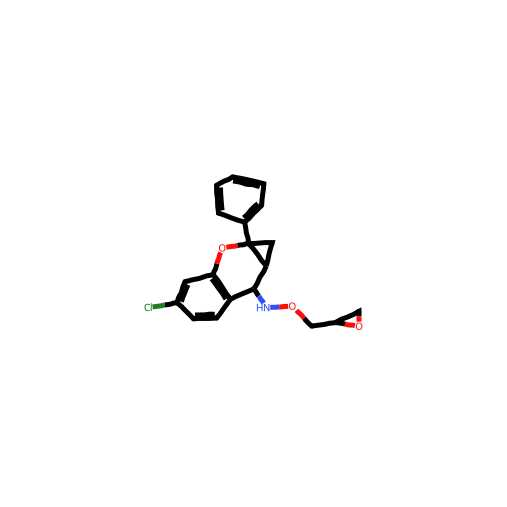 Clc1ccc2c(c1)OC1(c3ccccc3)CC1C2NOCC1CO1